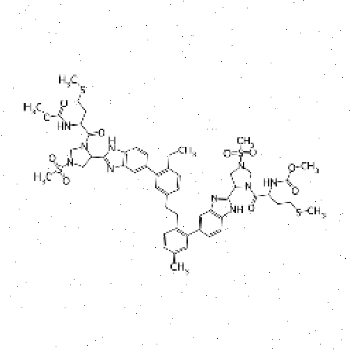 CCc1ccc(CCc2ccc(C)cc2-c2ccc3[nH]c(C4CN(S(C)(=O)=O)CN4C(=O)C(CCSC)NC(=O)OC)nc3c2)cc1-c1ccc2[nH]c(C3CN(S(C)(=O)=O)CN3C(=O)C(CCSC)NC(=O)OC)nc2c1